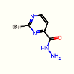 CC(C)(C)c1nccc(C(=O)NN)n1